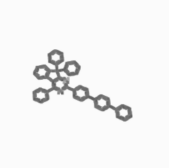 c1ccc(-c2ccc(-c3ccc(-c4nc(-c5ccccc5)c5c(n4)C(c4ccccc4)(c4ccccc4)c4ccccc4-5)cc3)cc2)cc1